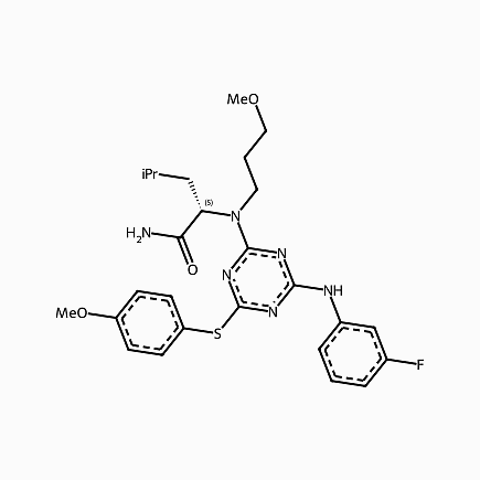 COCCCN(c1nc(Nc2cccc(F)c2)nc(Sc2ccc(OC)cc2)n1)[C@@H](CC(C)C)C(N)=O